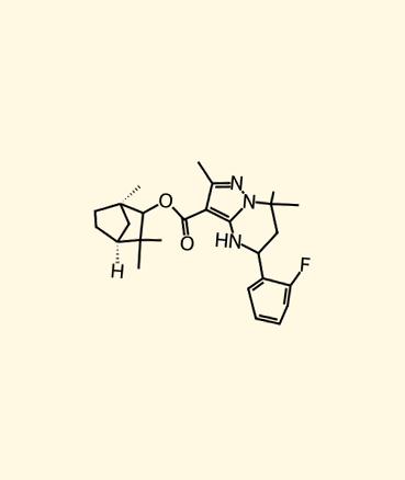 Cc1nn2c(c1C(=O)OC1C(C)(C)[C@H]3CC[C@]1(C)C3)NC(c1ccccc1F)CC2(C)C